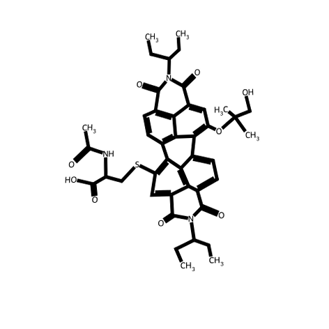 CCC(CC)N1C(=O)c2ccc3c4c(SCC(NC(C)=O)C(=O)O)cc5c6c(ccc(c7c(OC(C)(C)CO)cc(c2c37)C1=O)c64)C(=O)N(C(CC)CC)C5=O